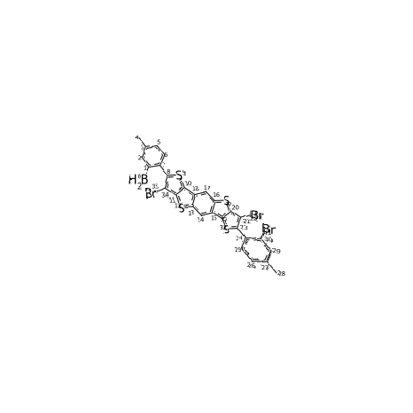 Bc1cc(C)ccc1-c1sc2c(sc3cc4c(cc32)sc2c(Br)c(-c3ccc(C)cc3Br)sc24)c1Br